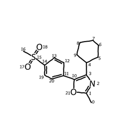 Cc1nc(C2CCCCC2)c(-c2ccc(S(C)(=O)=O)cc2)o1